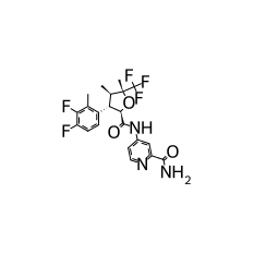 Cc1c([C@@H]2[C@@H](C)[C@](C)(C(F)(F)F)O[C@H]2C(=O)Nc2ccnc(C(N)=O)c2)ccc(F)c1F